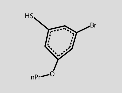 CCCOc1cc(S)cc(Br)c1